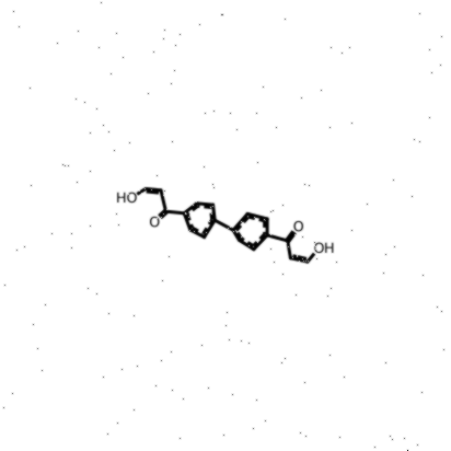 O=C(/C=C\O)c1ccc(-c2ccc(C(=O)/C=C\O)cc2)cc1